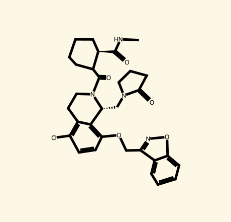 CNC(=O)[C@@H]1CCCCC1C(=O)N1CCc2c(Cl)ccc(OCc3noc4ccccc34)c2[C@H]1CN1CCCC1=O